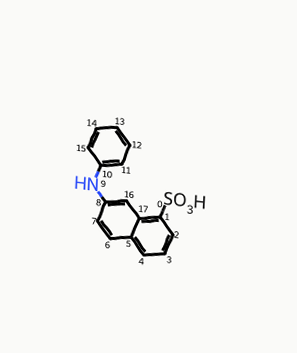 O=S(=O)(O)c1cccc2ccc(Nc3ccccc3)cc12